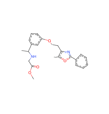 COC(=O)CNC(C)c1cccc(OCCc2nc(-c3ccccc3)oc2C)c1